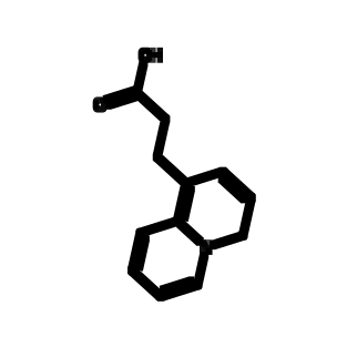 O=C(O)CCC1=C2C=CC=CN2CC=C1